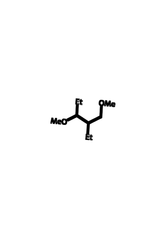 [CH2]CC(COC)C(CC)OC